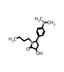 CCCCN1C(=O)C(O)CC1c1ccc(N(C)C)cc1